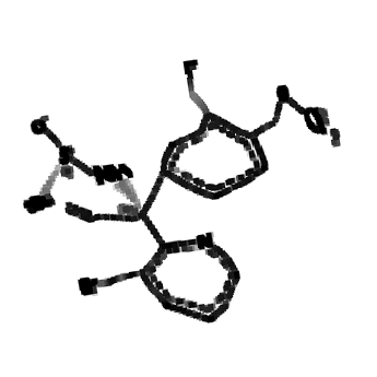 C=C[C@@](N[S@@+]([O-])C(C)(C)C)(c1ccc(OC(F)(F)F)c(F)c1)c1ncccc1Br